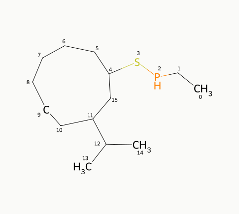 CCPSC1CCCCCCC(C(C)C)C1